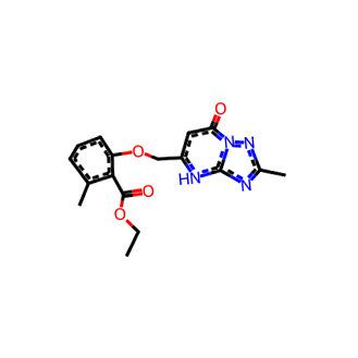 CCOC(=O)c1c(C)cccc1OCc1cc(=O)n2nc(C)nc2[nH]1